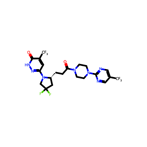 O=C(CC[C@@H]1CC(F)(F)CN1c1cc(C(F)(F)F)c(=O)[nH]n1)N1CCN(c2ncc(C(F)(F)F)cn2)CC1